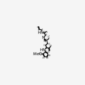 C=CCNC(C)[C@H](C)/N=N\N(C)CCC(Nc1ccccc1OC)C(=C)C